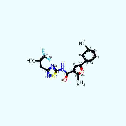 CC(Cc1nsc(NC(=O)c2cc(-c3cccc(C#N)c3)oc2C)n1)=C(F)F